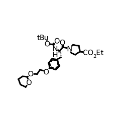 CCOC(=O)C1CCN(C(=O)[C@H](Cc2ccc(OCCOC3CCCCO3)cc2)NC(=O)OC(C)(C)C)CC1